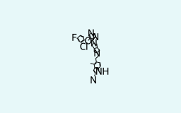 Cc1c(CCN2CC3CN(c4ncncc4Oc4ccc(F)cc4Cl)CC3C2)ccc2[nH]c(C#N)cc12